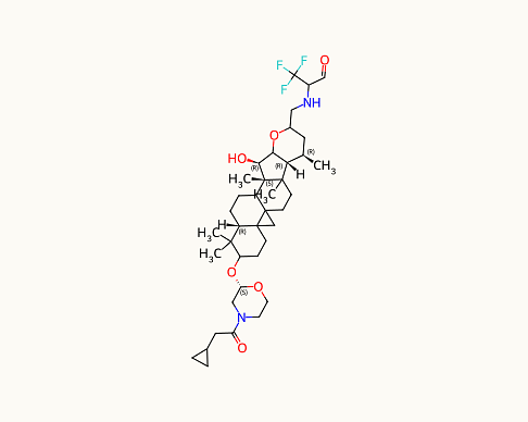 C[C@@H]1CC(CNC(C=O)C(F)(F)F)OC2[C@H]1C1(C)CCC34CC35CCC(O[C@H]3CN(C(=O)CC6CC6)CCO3)C(C)(C)[C@@H]5CCC4[C@]1(C)[C@H]2O